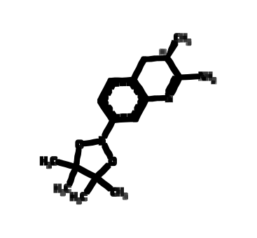 C[C@@H]1Cc2ccc(B3OC(C)(C)C(C)(C)O3)cc2N=C1N